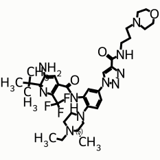 CCN1CCN(c2ccc(-n3cc(C(=O)NCCCN4CCOCC4)nn3)cc2NC(=O)c2cc(N)c(C(C)(C)C)nc2C(F)(F)F)C[C@@H]1C